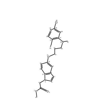 COC(=O)Cn1ccc2cc(OCCCN(C)c3nc(Cl)ncc3F)ccc21